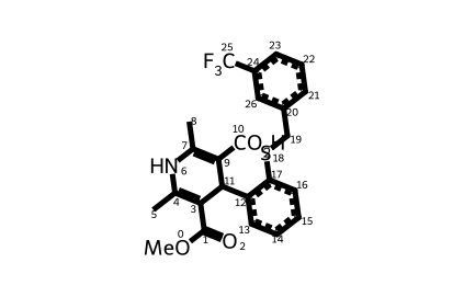 COC(=O)C1=C(C)NC(C)=C(C(=O)O)C1c1ccccc1SCc1cccc(C(F)(F)F)c1